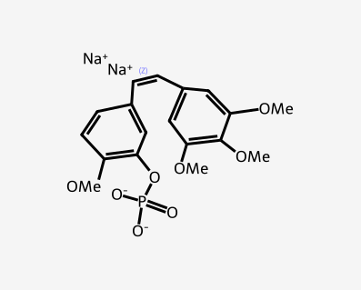 COc1ccc(/C=C\c2cc(OC)c(OC)c(OC)c2)cc1OP(=O)([O-])[O-].[Na+].[Na+]